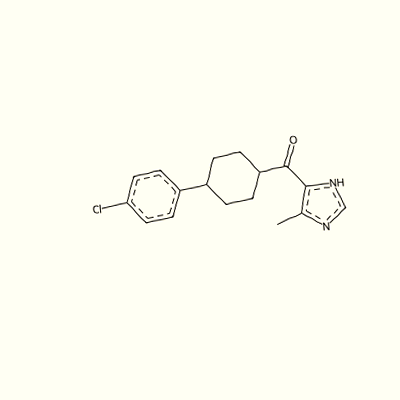 Cc1nc[nH]c1C(=O)C1CCC(c2ccc(Cl)cc2)CC1